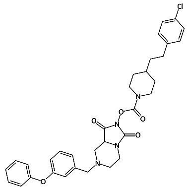 O=C(ON1C(=O)C2CN(Cc3cccc(Oc4ccccc4)c3)CCN2C1=O)N1CCC(CCc2ccc(Cl)cc2)CC1